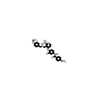 Bc1ccc(C(=O)Nc2ccc(Oc3ccnc(N)c3CNCc3ccc(OC)cc3)c(F)c2)cc1